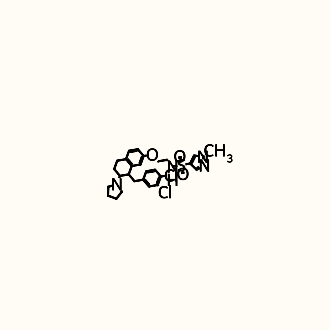 Cn1cc(S(=O)(=O)NCCOc2ccc3c(c2)C(Cc2ccc(Cl)c(Cl)c2)C(N2CCCC2)CC3)cn1